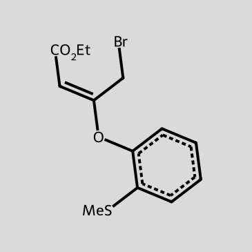 CCOC(=O)/C=C(\CBr)Oc1ccccc1SC